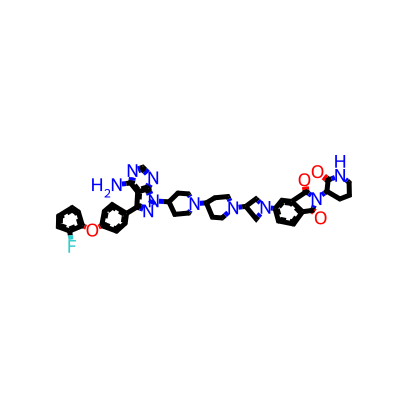 Nc1ncnc2c1c(-c1ccc(Oc3ccccc3F)cc1)nn2C1CCN(C2CCN(C3CN(c4ccc5c(c4)C(=O)N(C4CCCNC4=O)C5=O)C3)CC2)CC1